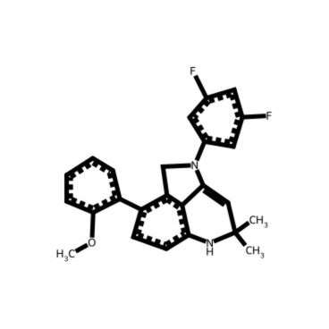 COc1ccccc1-c1ccc2c3c1CN(c1cc(F)cc(F)c1)C3=CC(C)(C)N2